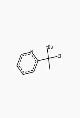 CC(C)(C)C(C)(Cl)c1ccccn1